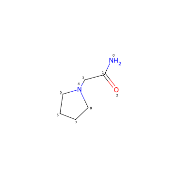 NC(=O)CN1[CH]CCC1